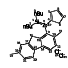 CCCC[Si](CCCC)=[Zr+2]([C]1=CC=CC1)[c]1c(C)ccc2c1Cc1cc(C)ccc1-2.[Cl-].[Cl-]